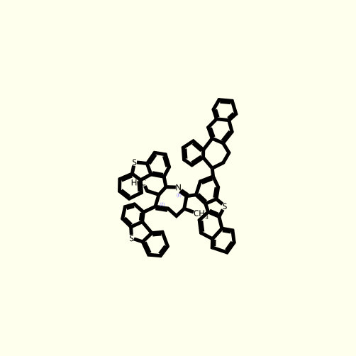 CCC1/C(c2cccc3sc4ccccc4c23)=C/CC(C)/C(c2cc(C3CCc4cc5ccccc5cc4-c4ccccc43)cc3sc4c5ccccc5ccc4c23)=N\C1c1cccc2sc3ccccc3c12